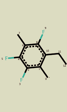 [CH2]c1c(F)c(F)c(C)c(F)c1CC